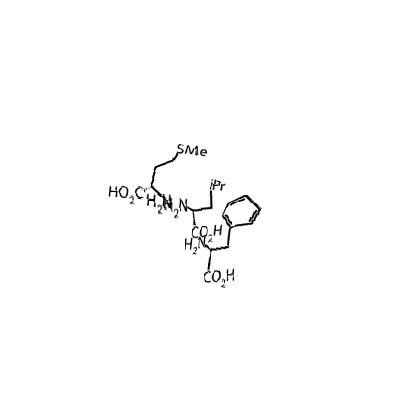 CC(C)C[C@H](N)C(=O)O.CSCC[C@H](N)C(=O)O.N[C@@H](Cc1ccccc1)C(=O)O